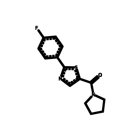 O=C(c1cnc(-c2ccc(F)cc2)s1)N1CCCC1